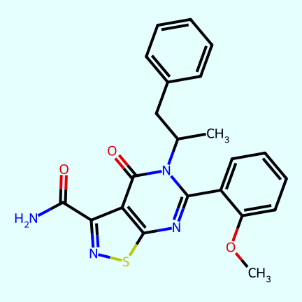 COc1ccccc1-c1nc2snc(C(N)=O)c2c(=O)n1C(C)Cc1ccccc1